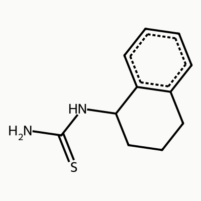 NC(=S)NC1CCCc2ccccc21